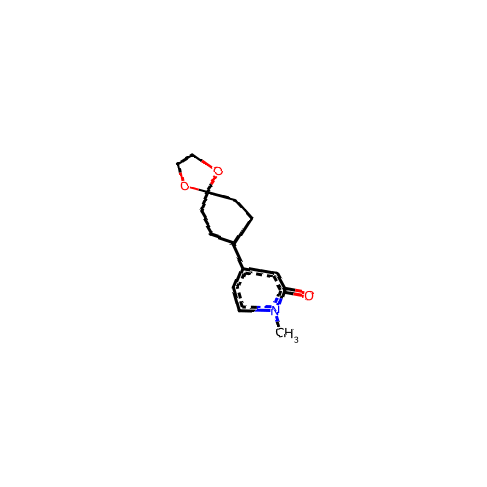 Cn1ccc(C2CCC3(CC2)OCCO3)cc1=O